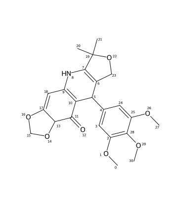 COc1cc(C2C3=C(NC4=C2C(=O)C2OCOC2=C4)C(C)(C)OC3)cc(OC)c1OC